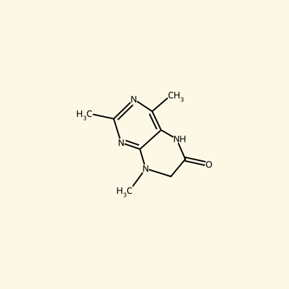 Cc1nc(C)c2c(n1)N(C)CC(=O)N2